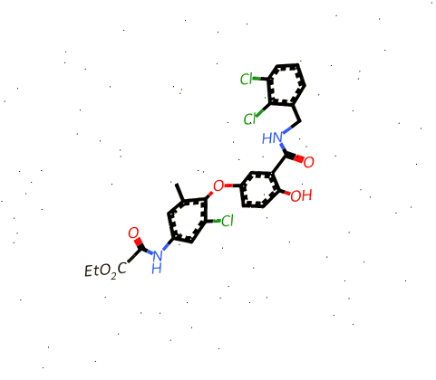 CCOC(=O)C(=O)Nc1cc(C)c(Oc2ccc(O)c(C(=O)NCc3cccc(Cl)c3Cl)c2)c(Cl)c1